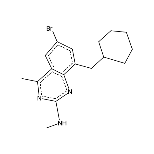 CNc1nc(C)c2cc(Br)cc(CC3CCCCC3)c2n1